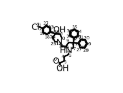 O=C(O)CCCNCC(CCCN1CCC(O)(c2ccc(Cl)cc2)CC1)(c1ccccc1)c1ccccc1